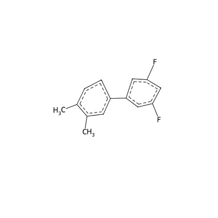 Cc1ccc(-c2cc(F)cc(F)c2)cc1C